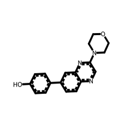 Oc1ccc(-c2ccc3ncc(N4CCOCC4)nc3c2)cc1